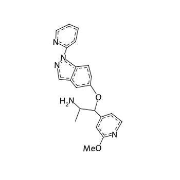 COc1cc(C(Oc2ccc3c(cnn3-c3ccccn3)c2)C(C)N)ccn1